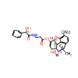 COc1ccc2c3c1O[C@@H]1C(OC(=O)CCNC(=O)[C@H](O)c4ccccc4)=CC[C@]4(O)[C@H](C2)N(C)CC[C@@]314